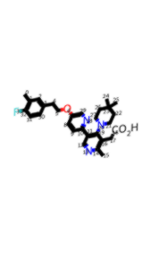 Cc1cc(CCOc2ccc(-c3cnc(C)c(CC(=O)O)c3N3CCC(C)(C)CC3)nc2)ccc1F